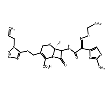 C=CCn1nnnc1SCC1=C(C(=O)O)N2C(=O)C(NC(=O)C(=NOCSC)c3csc(N)n3)[C@@H]2SC1